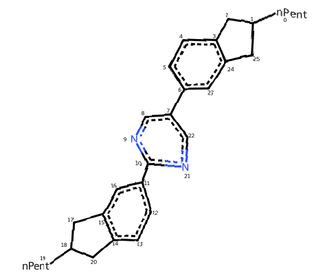 CCCCCC1Cc2ccc(-c3cnc(-c4ccc5c(c4)CC(CCCCC)C5)nc3)cc2C1